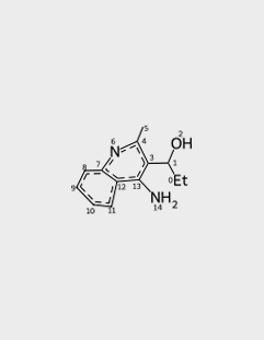 CCC(O)c1c(C)nc2ccccc2c1N